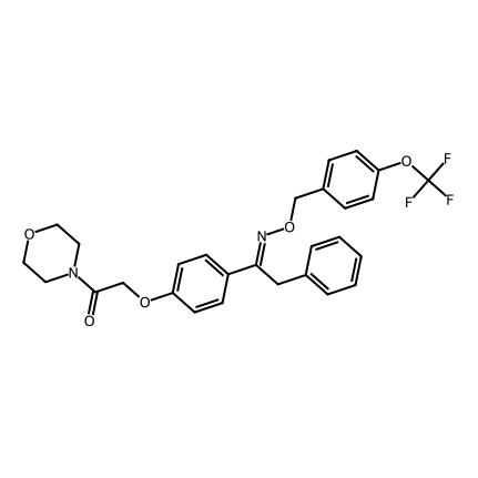 O=C(COc1ccc(C(Cc2ccccc2)=NOCc2ccc(OC(F)(F)F)cc2)cc1)N1CCOCC1